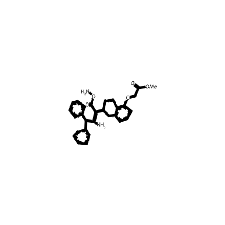 COC(=O)COc1cccc2c1CCC(C(C(=O)ON)=C(N)C(c1ccccc1)c1ccccc1)C2